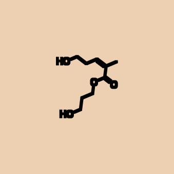 CC(=CCCO)C(=O)OCCCO